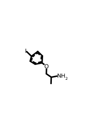 CC(N)COc1ccc(I)cc1